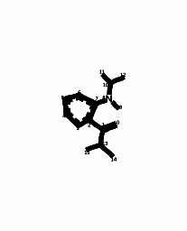 C=C(c1ccccc1N(C)C(C)C)C(C)C